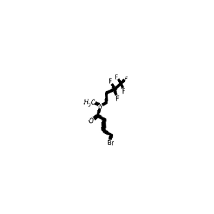 CN(CCC(F)(F)C(F)(F)F)C(=O)/C=C/CBr